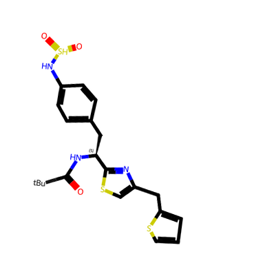 CC(C)(C)C(=O)N[C@@H](Cc1ccc(N[SH](=O)=O)cc1)c1nc(Cc2cccs2)cs1